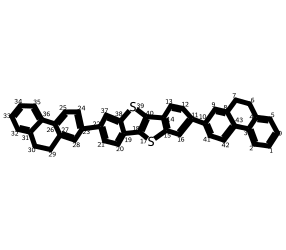 c1ccc2c(c1)CCc1cc(-c3ccc4c(c3)sc3c5ccc(-c6ccc7c(c6)CCc6ccccc6-7)cc5sc43)ccc1-2